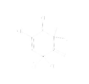 O=C1C(Cl)(Cl)C=C(Cl)C(Cl)C1(Cl)Cl